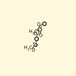 CC(=O)c1ccc(-c2ccc(C(=O)C(=O)N3CCN(C(=O)c4ccccc4)C[C@H]3C)cc2)s1